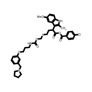 COc1ccc2[nH]c(C)c(C(CCSCOC(=O)NCCCOc3cccc(CN4CCCC4)c3)C(=O)OC(=O)c3ccc(Cl)cc3)c2c1